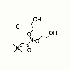 C[N+](C)(C)CC(=O)N(OCCO)OCCO.[Cl-]